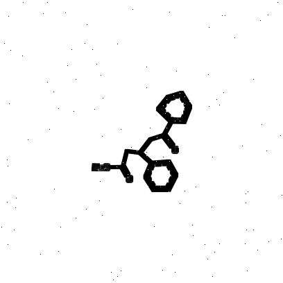 COC(=O)CC(CC(=O)c1ccccc1)c1ccccc1